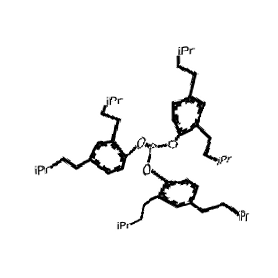 CC(C)CCc1ccc(OP(Oc2ccc(CCC(C)C)cc2CCC(C)C)Oc2ccc(CCC(C)C)cc2CCC(C)C)c(CCC(C)C)c1